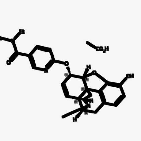 CC(=O)O.CCN(CC)C(=O)c1ccc(O[C@H]2C=C[C@H]3[C@H]4Cc5ccc(O)c6c5[C@@]3(CCN4C)[C@H]2O6)nc1